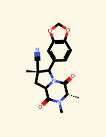 C[C@H]1C(=O)N2C(C[C@](C)(C#N)C2c2ccc3c(c2)OCO3)C(=O)N1C